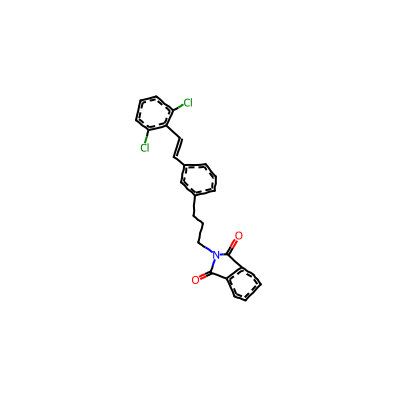 O=C1c2ccccc2C(=O)N1CCCc1cccc(C=Cc2c(Cl)cccc2Cl)c1